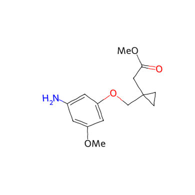 COC(=O)CC1(COc2cc(N)cc(OC)c2)CC1